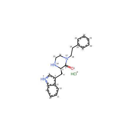 Cl.O=C1[C@@H](Cc2c[nH]c3ccccc23)NCCN1CCc1ccccc1